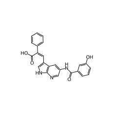 O=C(O)C(=Cc1c[nH]c2ncc(NC(=O)c3cccc(O)c3)cc12)c1ccccc1